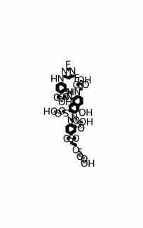 O=S(=O)(O)CNc1ccc2c(O)c(/N=N/c3ccc(S(=O)(=O)CCOSOOO)cc3S(=O)(=O)O)c(SOOO)cc2c1/N=N/c1cc(Nc2cc(F)nc(F)n2)ccc1S(=O)(=O)O